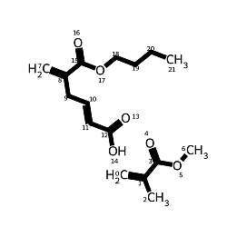 C=C(C)C(=O)OC.C=C(CC=CC(=O)O)C(=O)OCCCC